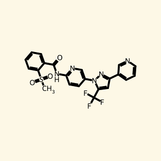 CS(=O)(=O)c1ccccc1C(=O)Nc1ccc(-n2nc(-c3cccnc3)cc2C(F)(F)F)cn1